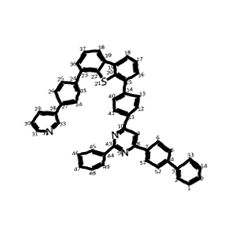 c1ccc(-c2ccc(-c3cc(-c4ccc(-c5cccc6c5sc5c(-c7ccc(-c8cccnc8)cc7)cccc56)cc4)nc(-c4ccccc4)n3)cc2)cc1